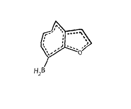 Bc1cccc2ccoc12